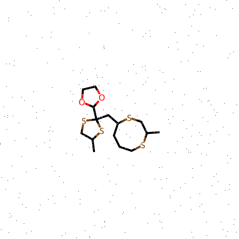 CC1CSC(CC2(C3OCCO3)SCC(C)S2)CCCS1